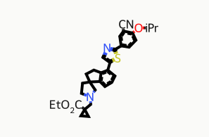 CCOC(=O)C1(CN2CCC3(CCc4c(-c5cnc(-c6ccc(OC(C)C)c(C#N)c6)s5)cccc43)C2)CC1